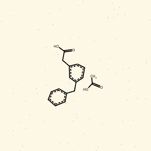 CC(=O)O.O=C(O)Cc1cccc(Cc2ccccc2)c1